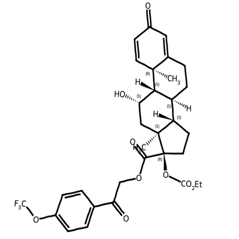 CCOC(=O)O[C@]1(C(=O)OCC(=O)c2ccc(OC(F)(F)F)cc2)CC[C@H]2[C@@H]3CCC4=CC(=O)C=C[C@]4(C)[C@H]3[C@@H](O)C[C@@]21C